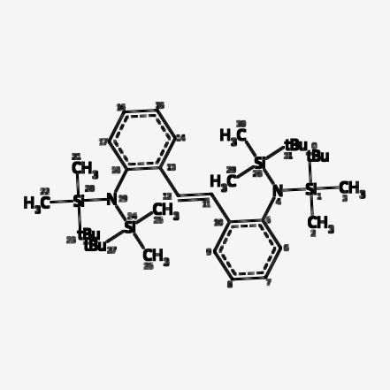 CC(C)(C)[Si](C)(C)N(c1ccccc1C=Cc1ccccc1N([Si](C)(C)C(C)(C)C)[Si](C)(C)C(C)(C)C)[Si](C)(C)C(C)(C)C